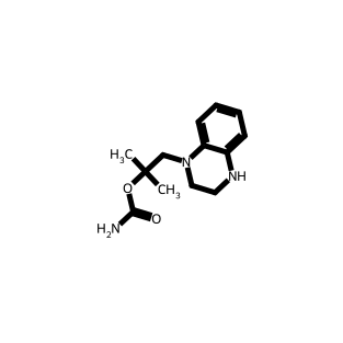 CC(C)(CN1CCNc2ccccc21)OC(N)=O